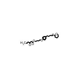 CCCC(=O)CC(=O)OCCCCOc1ccc(CCCCOC2CCCCO2)cc1